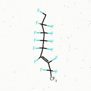 FCC(F)(F)C(F)(F)C(F)(F)C(F)(F)C(F)=C(F)C(F)(F)C(F)(F)F